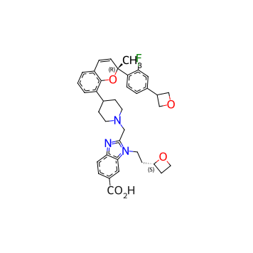 C[C@]1(c2ccc(C3COC3)cc2F)C=Cc2cccc(C3CCN(Cc4nc5ccc(C(=O)O)cc5n4CC[C@H]4CCO4)CC3)c2O1